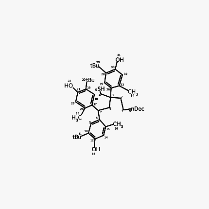 CCCCCCCCCCCCC(CS)(CC(c1cc(C(C)(C)C)c(O)cc1C)c1cc(C(C)(C)C)c(O)cc1C)c1cc(C(C)(C)C)c(O)cc1C